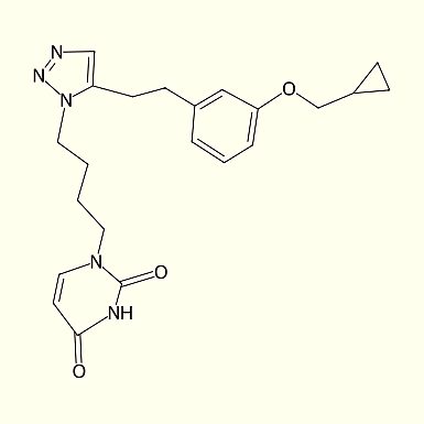 O=c1ccn(CCCCn2nncc2CCc2cccc(OCC3CC3)c2)c(=O)[nH]1